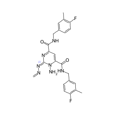 C=N/N=c1/nc(C(=O)NCc2ccc(F)c(C)c2)cc(C(=O)NCc2ccc(F)c(C)c2)n1N